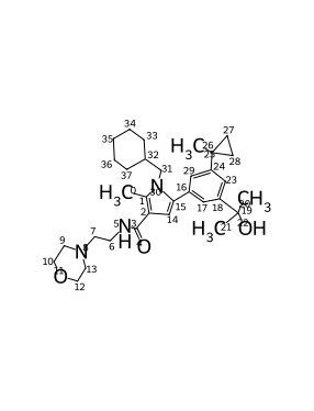 Cc1c(C(=O)NCCN2CCOCC2)cc(-c2cc(C(C)(C)O)cc(C3(C)CC3)c2)n1CC1CCCCC1